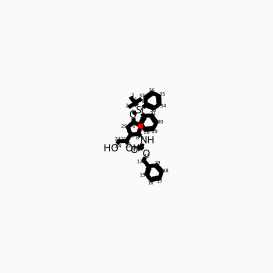 CC(C)(C)[Si](OC1CC(NC(=O)OCc2ccccc2)C(C(O)CO)C1)(c1ccccc1)c1ccccc1